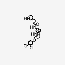 O=C(COC1CCCNC1)NC1C[C@@H](NC(=O)COc2ccc(Cl)c(Cl)c2)C2CC1C2